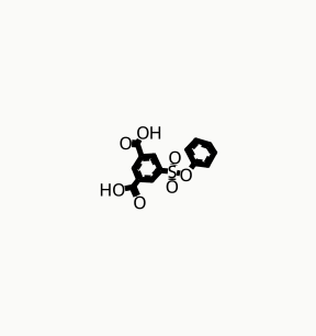 O=C(O)c1cc(C(=O)O)cc(S(=O)(=O)Oc2ccccc2)c1